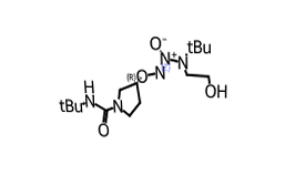 CC(C)(C)NC(=O)N1CC[C@@H](O/N=[N+](\[O-])N(CCO)C(C)(C)C)C1